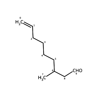 C=CCCCCC(C)CC=O